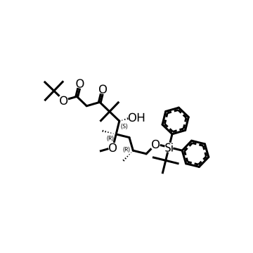 CO[C@](C)(C[C@@H](C)CO[Si](c1ccccc1)(c1ccccc1)C(C)(C)C)[C@@H](O)C(C)(C)C(=O)CC(=O)OC(C)(C)C